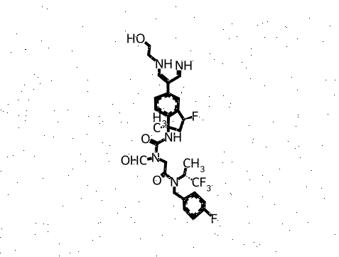 C[C@@H](N(Cc1ccc(F)cc1)C(=O)CN(C=O)C(=O)N[C@]1(C)C[C@H](F)c2cc(/C(C=N)=C/NCCO)ccc21)C(F)(F)F